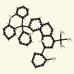 CC(C)(C)c1cc(-c2ccccc2O)nc2c1ccc1ccc(C3(c4ccccn4)c4ccccc4Oc4ccccc43)cc12